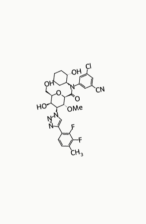 CO[C@@H]1[C@@H](n2cc(-c3ccc(C)c(F)c3F)nn2)[C@@H](O)[C@@H](CO)O[C@H]1C(=O)N(c1cc(Cl)cc(C#N)c1)[C@H]1CCCC[C@@H]1O